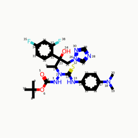 CC(N(NC(=O)OC(C)(C)C)C(=S)Nc1ccc(N(C)C)cc1)C(O)(Cn1cncn1)c1ccc(F)cc1F